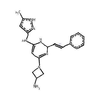 Cc1cc(NC2=CC(N3CC(N)C3)=NC(/C=C/c3ccccc3)N2)n[nH]1